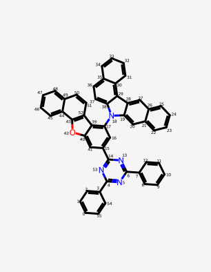 c1ccc(-c2nc(-c3ccccc3)nc(-c3cc(-n4c5cc6ccccc6cc5c5c6ccccc6ccc54)c4c(c3)oc3c5ccccc5ccc34)n2)cc1